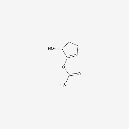 CC(=O)OC1=CCC[C@H]1O